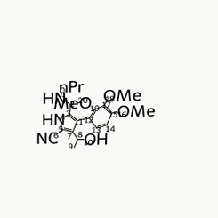 CCCNCc1[nH]c(C#N)c(C(C)O)c1-c1ccc(OC)c(OC)c1OC